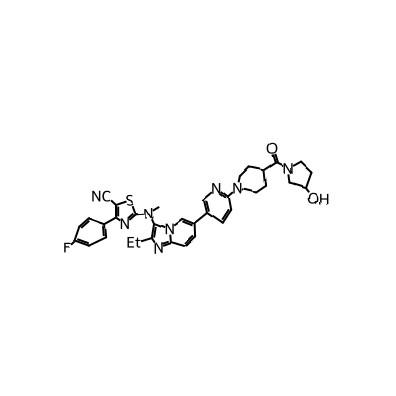 CCc1nc2ccc(-c3ccc(N4CCC(C(=O)N5CCC(O)C5)CC4)nc3)cn2c1N(C)c1nc(-c2ccc(F)cc2)c(C#N)s1